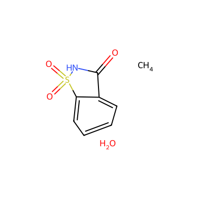 C.O.O=C1NS(=O)(=O)c2ccccc21